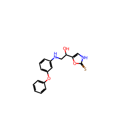 OC(CNc1cccc(Oc2ccccc2)c1)c1c[nH]c(=S)o1